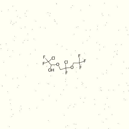 OC(OCC(F)(Cl)OCC(F)(F)F)C(F)(F)Cl